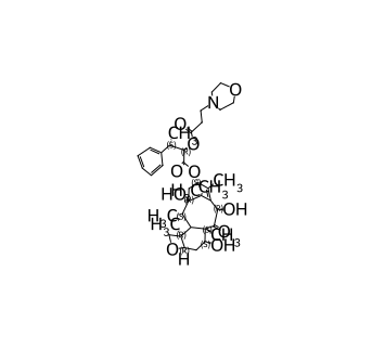 CC1=C2[C@@H](O)C(=O)[C@@]3(C)C([C@H](C)[C@](O)(C[C@@H]1OC(=O)[C@H](OC(=O)CCN1CCOCC1)[C@@H](C)c1ccccc1)C2(C)C)[C@]1(C)CO[C@@H]1C[C@@H]3O